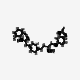 Cc1nc2cc(OCC(O)CCN3CCN(CC(=O)Nc4c(C)cccc4C)CC3)ccc2s1